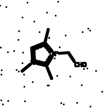 Cc1cn(C)c(C)[n+]1CC=O